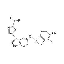 Cc1c(C#N)ccc2c1CC[C@@H]2Oc1ccc2[nH]nc(-c3cnn(C(F)F)c3)c2c1